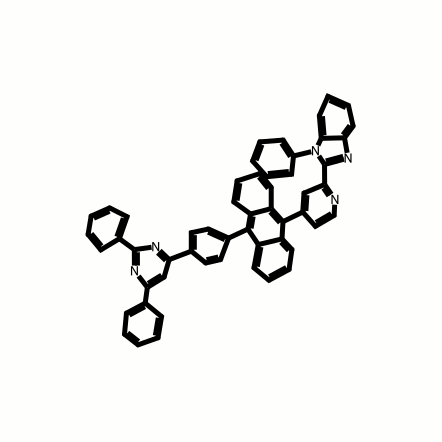 c1ccc(-c2cc(-c3ccc(-c4c5ccccc5c(-c5ccnc(-c6nc7ccccc7n6-c6ccccc6)c5)c5ccccc45)cc3)nc(-c3ccccc3)n2)cc1